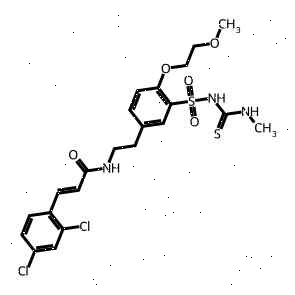 CNC(=S)NS(=O)(=O)c1cc(CCNC(=O)C=Cc2ccc(Cl)cc2Cl)ccc1OCCOC